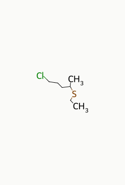 CCSC(C)CCCCl